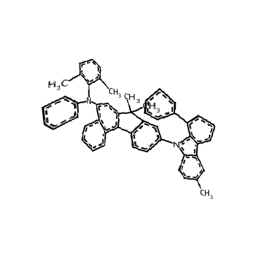 Cc1ccc2c(c1)c1cccc(-c3ccccc3)c1n2-c1ccc2c(c1)C(C)(C)c1cc(N(c3ccccc3)c3c(C)cccc3C)c3ccccc3c1-2